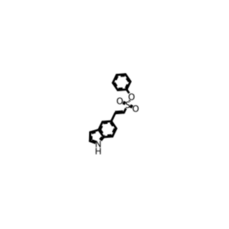 O=S(=O)(C=Cc1ccc2[nH]ccc2c1)Oc1ccccc1